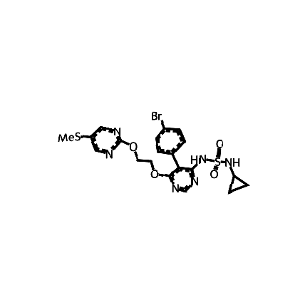 CSc1cnc(OCCOc2ncnc(NS(=O)(=O)NC3CC3)c2-c2ccc(Br)cc2)nc1